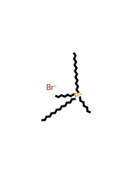 CCCCCCCCCCCCCC[P+](CCCCCCC)(CCCCCCC)CCCCCCCCCCCCCC.[Br-]